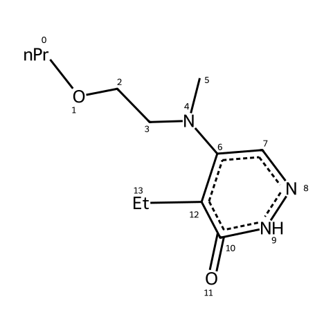 CCCOCCN(C)c1cn[nH]c(=O)c1CC